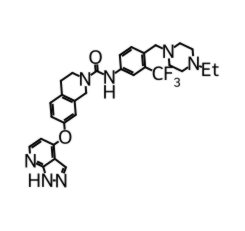 CCN1CCN(Cc2ccc(NC(=O)N3CCc4ccc(Oc5ccnc6[nH]ncc56)cc4C3)cc2C(F)(F)F)CC1